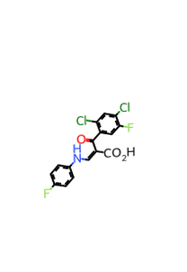 O=C(O)C(=CNc1ccc(F)cc1)C(=O)c1cc(F)c(Cl)cc1Cl